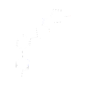 CCOC(=O)C(Cc1cccc(-c2ccc(C(F)(F)F)cn2)c1)c1c(SC(C)(C)C)c2cc(O)ccc2n1C